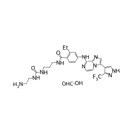 CCc1cc(Nc2nccn3c(-c4c[nH]nc4C(F)(F)F)cnc23)ccc1C(=O)NCCCNC(=O)NCCN.O=CO